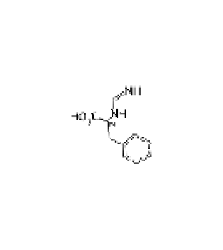 N=CN[C@@H](Cc1ccccc1)C(=O)O